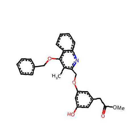 COC(=O)Cc1cc(O)cc(OCc2nc3ccccc3c(OCc3ccccc3)c2C)c1